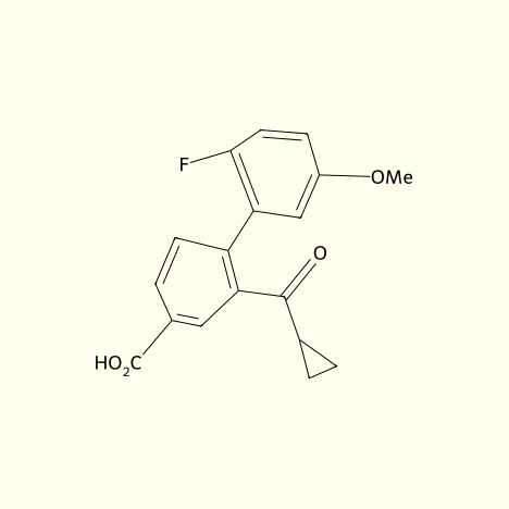 COc1ccc(F)c(-c2ccc(C(=O)O)cc2C(=O)C2CC2)c1